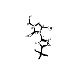 CC(C)(C)c1nnc(N2C(=O)N(CI)CC2O)s1